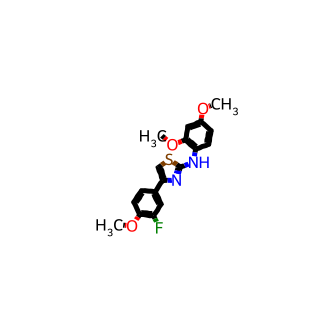 COc1ccc(Nc2nc(-c3ccc(OC)c(F)c3)cs2)c(OC)c1